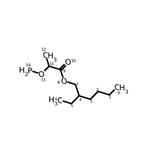 CCCCC(CC)COC(=O)C(C)OP